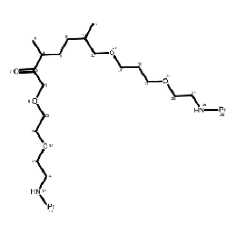 CC(CCC(C)C(=O)COCCOCCNC(C)C)COCCCOCCNC(C)C